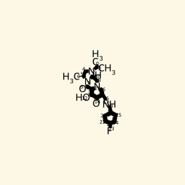 CC(C)N1C[C@@H](C)N2C(=O)c3c(O)c(=O)c(CNCc4ccc(F)cc4)cn3C[C@H]12